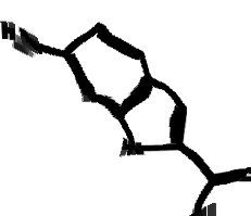 Nc1ccc2cc(C(=O)O)[nH]c2n1